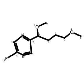 COCCCC(OC)c1ccc(F)cc1